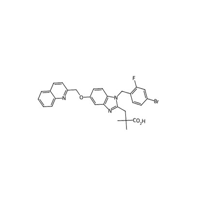 CC(C)(Cc1nc2cc(OCc3ccc4ccccc4n3)ccc2n1Cc1ccc(Br)cc1F)C(=O)O